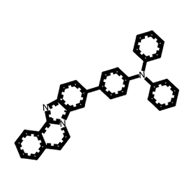 c1ccc(N(c2ccccc2)c2ccc(-c3ccc4nc5c6ccccc6ccn5c4c3)cc2)cc1